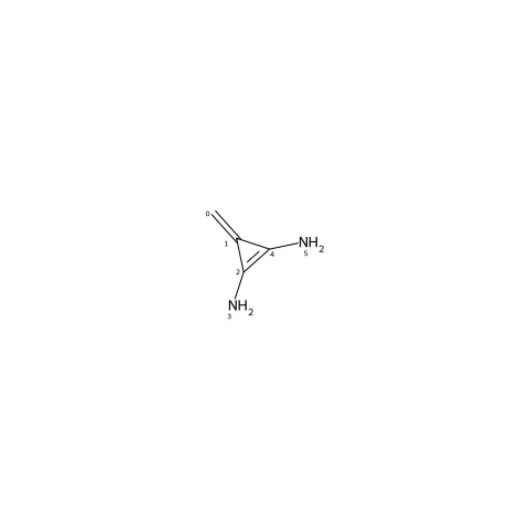 C=C1C(N)=C1N